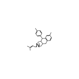 CC(C)=CCN1CC2Cc3ccc(C)cc3C(c3ccc(C)cc3)C2C1